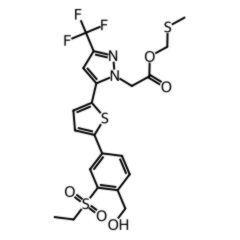 CCS(=O)(=O)c1cc(-c2ccc(-c3cc(C(F)(F)F)nn3CC(=O)OCSC)s2)ccc1CO